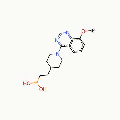 CC(C)Oc1cccc2c(N3CCC(CCP(O)O)CC3)ncnc12